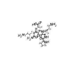 NCCCC[C@H](NC(=O)[C@H](CCC(=O)O)NC(=O)[C@H](CCCCN)NC(=O)[C@@H]1CCCN1)C(N)=O